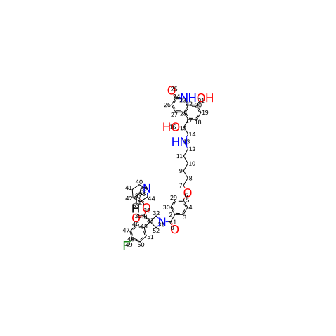 O=C(c1ccc(OCCCCCCNC[C@H](O)c2ccc(O)c3[nH]c(=O)ccc23)cc1)N1CC(C(=O)O[C@H]2CN3CCC2CC3)(c2ccc(F)cc2)C1